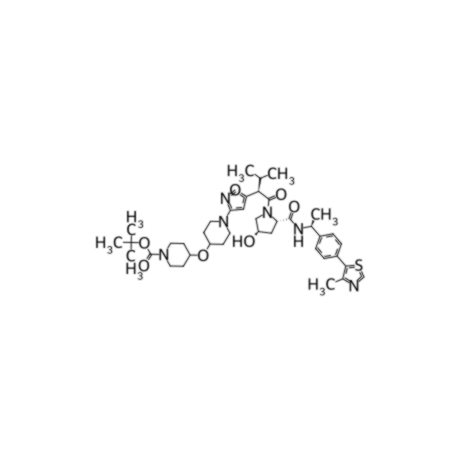 Cc1ncsc1-c1ccc([C@H](C)NC(=O)[C@@H]2C[C@@H](O)CN2C(=O)[C@@H](c2cc(N3CCC(OC4CCN(C(=O)OC(C)(C)C)CC4)CC3)no2)C(C)C)cc1